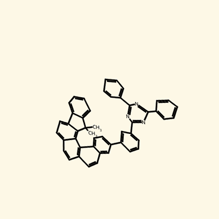 CC1(C)c2ccccc2-c2ccc3ccc4ccc5cc(-c6cccc(-c7nc(-c8ccccc8)nc(-c8ccccc8)n7)c6)ccc5c4c3c21